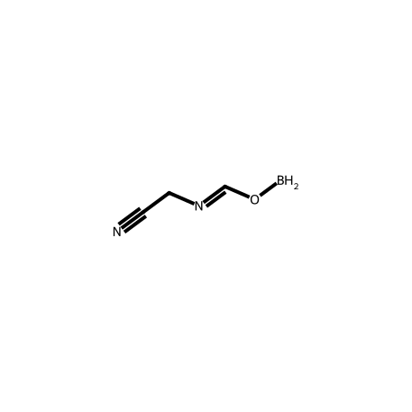 BOC=NCC#N